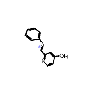 Oc1ccnc(/C=N/c2ccccc2)c1